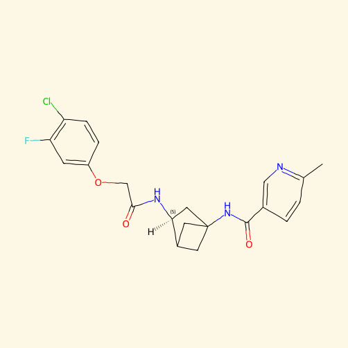 Cc1ccc(C(=O)NC23CC(C2)[C@@H](NC(=O)COc2ccc(Cl)c(F)c2)C3)cn1